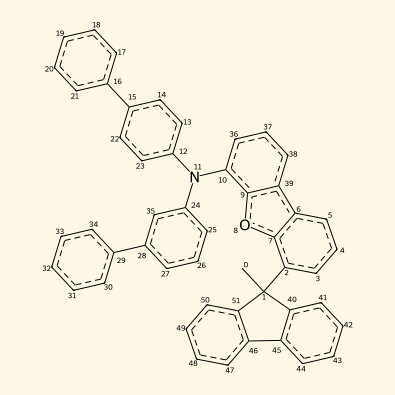 CC1(c2cccc3c2oc2c(N(c4ccc(-c5ccccc5)cc4)c4cccc(-c5ccccc5)c4)cccc23)c2ccccc2-c2ccccc21